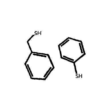 SCc1ccccc1.Sc1ccccc1